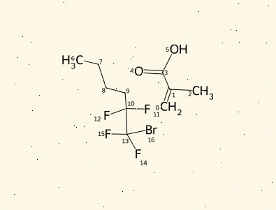 C=C(C)C(=O)O.CCCCC(F)(F)C(F)(F)Br